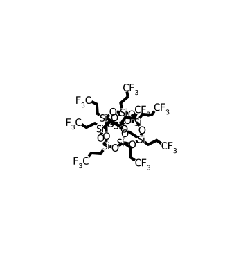 FC(F)(F)CC[Si]12O[Si]3(CCC(F)(F)F)O[Si]4(CCC(F)(F)F)O[Si](CCC(F)(F)F)(O1)O[Si]1(CCC(F)(F)F)O[Si](CCC(F)(F)F)(O2)O[Si](CCC(F)(F)F)(O3)O[Si](CCC(F)(F)F)(O4)O1